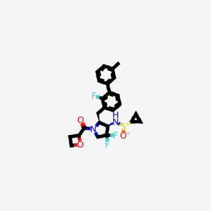 Cc1cccc(-c2cccc(C[C@H]3[C@@H](N[S+]([O-])C4CC4)C(F)(F)CN3C(=O)C3CCO3)c2F)c1